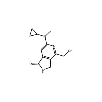 CN(c1cc2c(c(CO)n1)CNC2=O)C1CC1